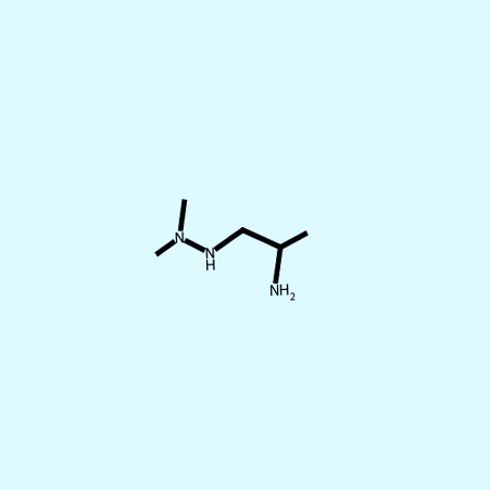 CC(N)CNN(C)C